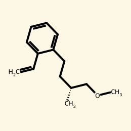 C=Cc1ccccc1CC[C@@H](C)COC